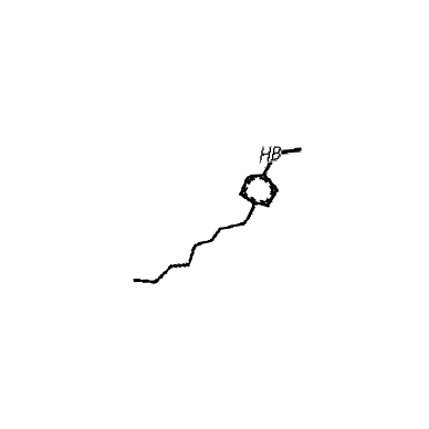 CBc1ccc(CCCCCCCC)cc1